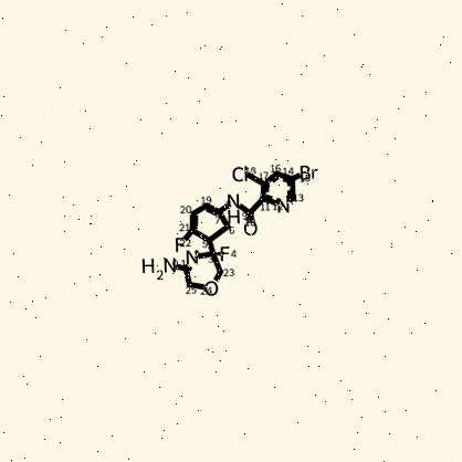 NC1=N[C@](F)(C2CC(NC(=O)c3ncc(Br)cc3Cl)=CC=C2F)COC1